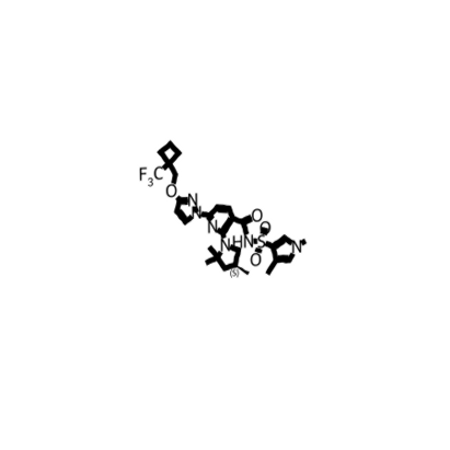 Cc1cn(C)cc1S(=O)(=O)NC(=O)c1ccc(-n2ccc(OCC3(C(F)(F)F)CCC3)n2)nc1N1C[C@@H](C)CC1(C)C